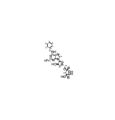 CCCc1nc(NCc2ccccc2)c2ncn([C@@H]3O[C@H](COP(=O)(O)CP(=O)(O)O)C[C@H]3O)c2n1